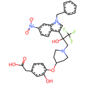 O=C(O)Cc1ccc(OC2CCN(CC(O)(c3cn(Cc4ccccc4)c4cc([N+](=O)[O-])ccc34)C(F)(F)F)CC2)c(O)c1